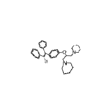 CCC(=C(c1ccccc1)c1ccc(OC(CN2CCCCC2)CN2CCCCC2)cc1)c1ccccc1